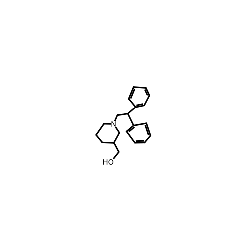 OCC1CCCN(CC(c2ccccc2)c2ccccc2)C1